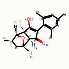 Cc1cc(C)c(C2=C(O)[C@@H]3[C@@H]4O[C@@H](C[C@H]4C)[C@@H]3C2=O)c(C)c1